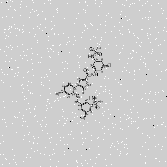 Cc1sc(C(=O)Nc2cc(Cl)cc(NS(C)(=O)=O)c2)cc1-c1ncc(F)cc1OCc1cc(F)cc(S(C)(=N)=O)c1